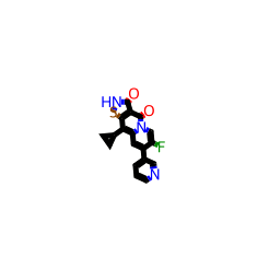 O=c1[nH]sc2c(C3CC3)c3cc(-c4cccnc4)c(F)cn3c(=O)c12